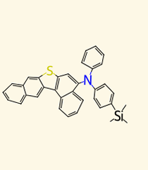 C[Si](C)(C)c1ccc(N(c2ccccc2)c2cc3sc4cc5ccccc5cc4c3c3ccccc23)cc1